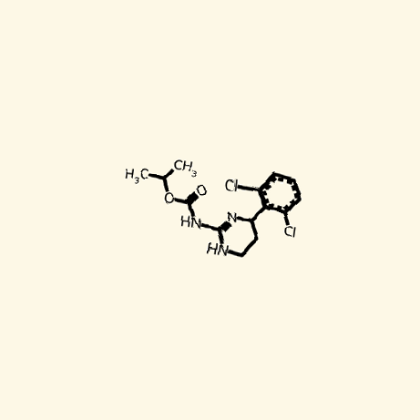 CC(C)OC(=O)NC1=NC(c2c(Cl)cccc2Cl)CCN1